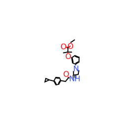 CCOC(=O)C(C)(C)Oc1cccc(N2CC[C@@H](NC(=O)Cc3ccc(C4CC4)cc3)C2)c1